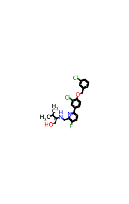 CC(C)[C@H](CO)NCc1nc(-c2ccc(OCc3cccc(Cl)c3)c(Cl)c2)ccc1F